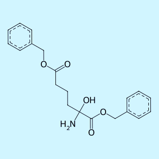 NC(O)(CCCC(=O)OCc1ccccc1)C(=O)OCc1ccccc1